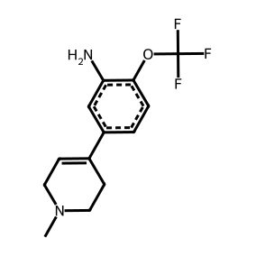 CN1CC=C(c2ccc(OC(F)(F)F)c(N)c2)CC1